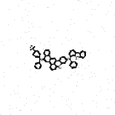 C[Si](C)(C)c1ccc(N(c2ccccc2)c2cc3c4cccc5c4c(cc3c3ccccc23)-c2ccc(N(c3ccccc3)c3cccc4c3oc3ccccc34)cc2O5)cc1